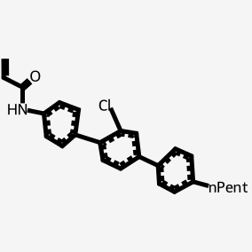 C=CC(=O)Nc1ccc(-c2ccc(-c3ccc(CCCCC)cc3)cc2Cl)cc1